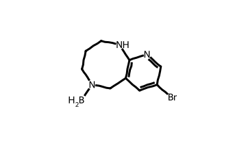 BN1CCCNc2ncc(Br)cc2C1